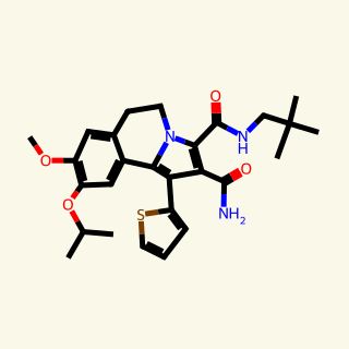 COc1cc2c(cc1OC(C)C)-c1c(-c3cccs3)c(C(N)=O)c(C(=O)NCC(C)(C)C)n1CC2